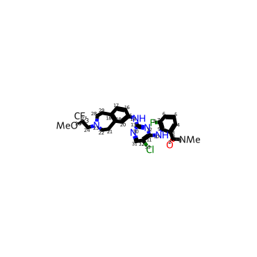 CNC(=O)c1cccc(F)c1Nc1nc(Nc2ccc3c(c2)CCN(C[C@@H](OC)C(F)(F)F)CC3)ncc1Cl